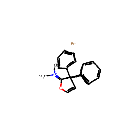 C[N+](C)=C1OC=CC1(c1ccccc1)c1ccccc1.[Br-]